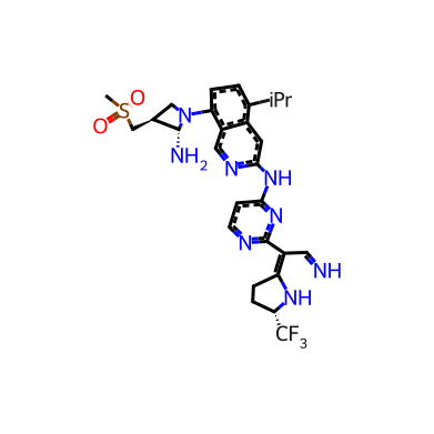 CC(C)c1ccc(N2C[C@H](CS(C)(=O)=O)[C@H]2N)c2cnc(Nc3ccnc(/C(C=N)=C4\CC[C@@H](C(F)(F)F)N4)n3)cc12